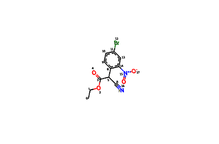 CCOC(=O)C(C#N)c1ccc(Br)cc1[N+](=O)[O-]